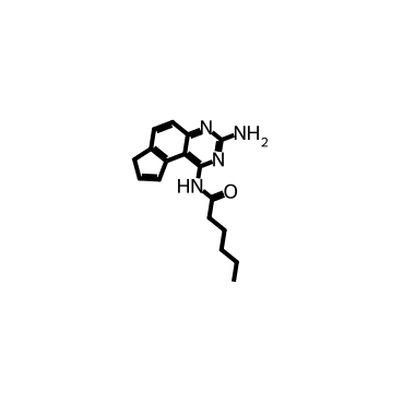 CCCCCC(=O)Nc1nc(N)nc2ccc3c(c12)C=CC3